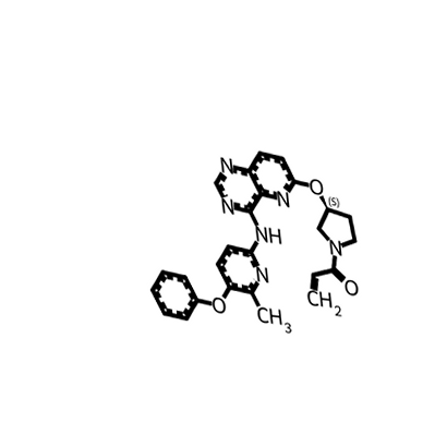 C=CC(=O)N1CC[C@H](Oc2ccc3ncnc(Nc4ccc(Oc5ccccc5)c(C)n4)c3n2)C1